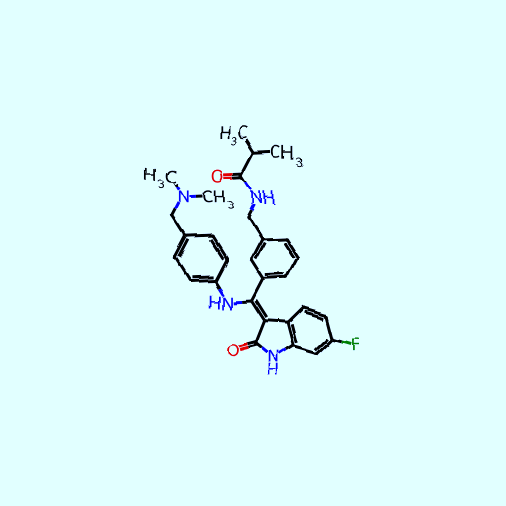 CC(C)C(=O)NCc1cccc(/C(Nc2ccc(CN(C)C)cc2)=C2/C(=O)Nc3cc(F)ccc32)c1